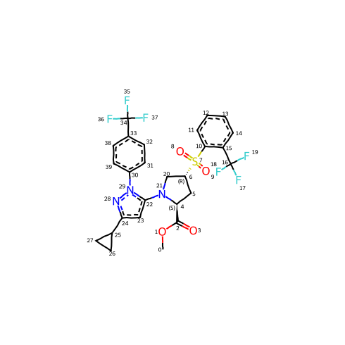 COC(=O)[C@@H]1C[C@@H](S(=O)(=O)c2ccccc2C(F)(F)F)CN1c1cc(C2CC2)nn1-c1ccc(C(F)(F)F)cc1